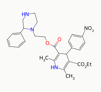 CCOC(=O)C1=C(C)NC(C)=C(C(=O)OCCN2CCNCC2c2ccccc2)C1c1ccc([N+](=O)[O-])cc1